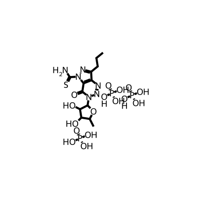 CCCc1nn(C(N)=S)c2c(=O)n(C3OC(C)C(O)C3O)nnc12.O=P(O)(O)O.O=P(O)(O)O.O=P(O)(O)O